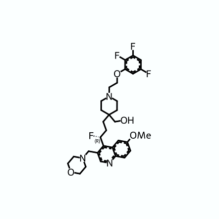 COc1ccc2ncc(CN3CCOCC3)c([C@H](F)CCC3(CO)CCN(CCOc4cc(F)cc(F)c4F)CC3)c2c1